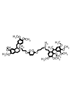 COc1ccc(CC2c3cc(OC)c(OC)cc3CC[N+]2(C)CCCOC(=O)/C=C\C(=O)OCCCN(C)CCc2cc(OC)c(OC)c(OC)c2C(C)c2cc(OC)c(OC)c(OC)c2)cc1OC